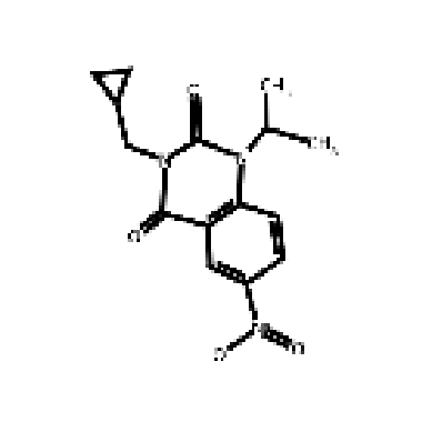 CC(C)n1c(=O)n(CC2CC2)c(=O)c2cc([N+](=O)[O-])ccc21